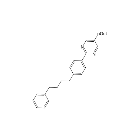 CCCCCCCCc1cnc(-c2ccc(CCCCc3ccccc3)cc2)nc1